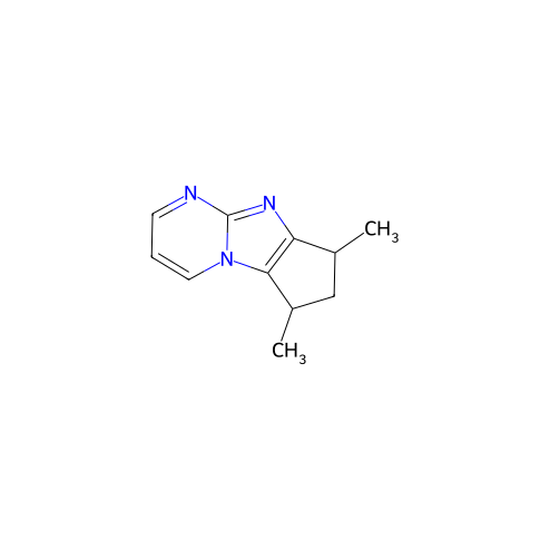 CC1CC(C)c2c1nc1ncccn21